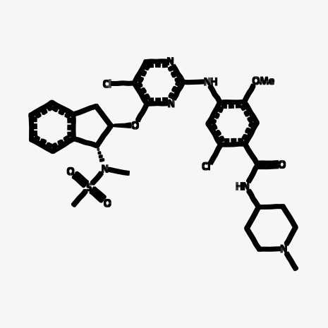 COc1cc(C(=O)NC2CCN(C)CC2)c(Cl)cc1Nc1ncc(Cl)c(O[C@@H]2Cc3ccccc3[C@H]2N(C)S(C)(=O)=O)n1